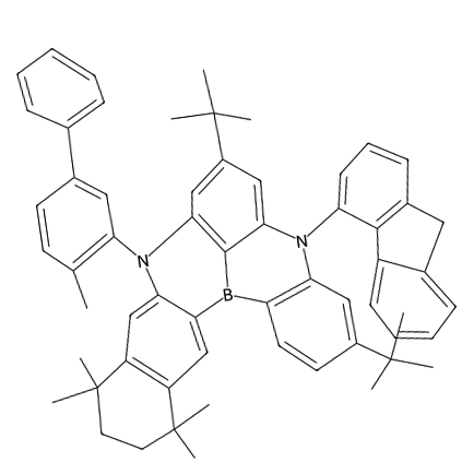 Cc1ccc(-c2ccccc2)cc1N1c2cc3c(cc2B2c4ccc(C(C)(C)C)cc4N(c4cccc5c4-c4ccccc4C5)c4cc(C(C)(C)C)cc1c42)C(C)(C)CCC3(C)C